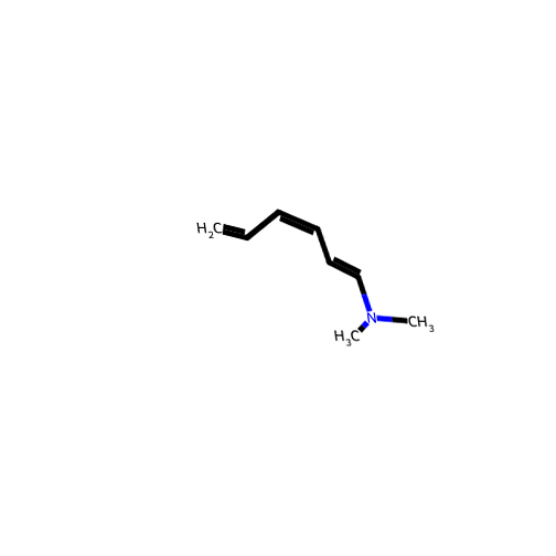 C=C/C=C\C=C\N(C)C